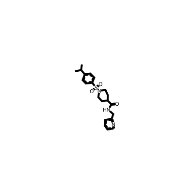 CC(C)c1ccc(S(=O)(=O)N2CCC(C(=O)NCc3ccccn3)CC2)cc1